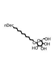 CCCCCCCCCCCCCCCCCCCCO[C@@H]1O[C@H](CO)[C@@H](O)[C@H](O)[C@H]1O